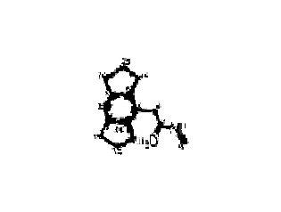 C=NC(=O)Cc1c2c(cc3c1CCC3)CCC2